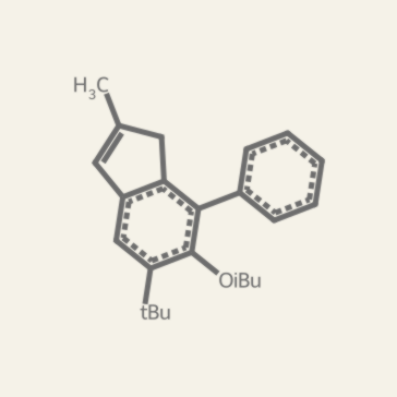 CC1=Cc2cc(C(C)(C)C)c(OCC(C)C)c(-c3ccccc3)c2C1